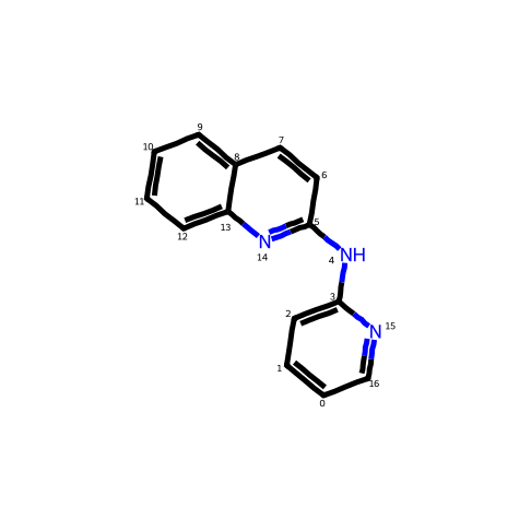 c1ccc(Nc2ccc3ccccc3n2)nc1